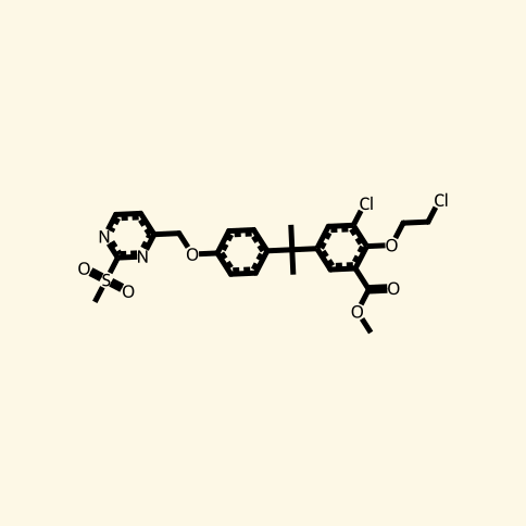 COC(=O)c1cc(C(C)(C)c2ccc(OCc3ccnc(S(C)(=O)=O)n3)cc2)cc(Cl)c1OCCCl